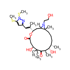 CSc1cc(/C=C(\C)[C@@H]2C[C@@H]3N(CCO)[C@]3(C)CCC[C@H](C)[C@H](O)[C@@H](C)C(=O)C(C)(C)[C@@H](O)CC(=O)O2)nn1SC